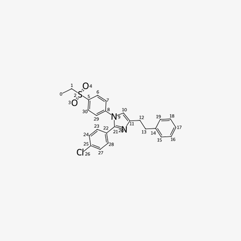 CCS(=O)(=O)c1ccc(-n2cc(CCc3ccccc3)nc2-c2ccc(Cl)cc2)cc1